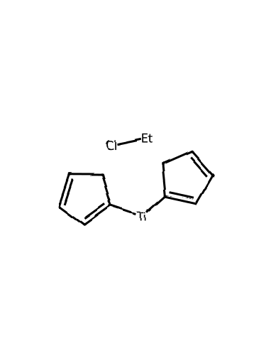 C1=CC[C]([Ti][C]2=CC=CC2)=C1.CCCl